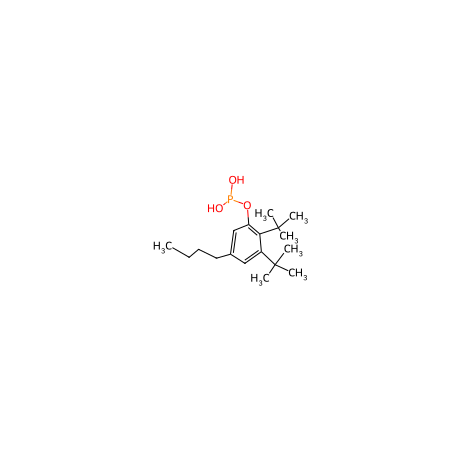 CCCCc1cc(OP(O)O)c(C(C)(C)C)c(C(C)(C)C)c1